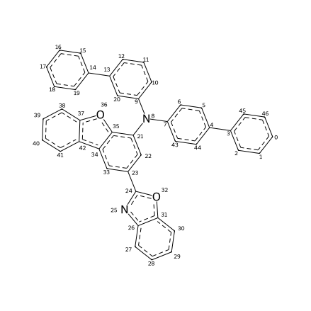 c1ccc(-c2ccc(N(c3cccc(-c4ccccc4)c3)c3cc(-c4nc5ccccc5o4)cc4c3oc3ccccc34)cc2)cc1